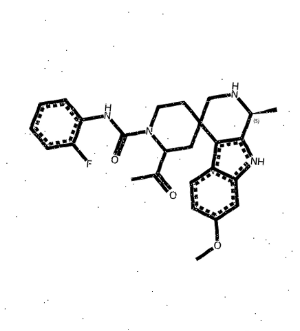 COc1ccc2c3c([nH]c2c1)[C@H](C)NCC31CCN(C(=O)Nc2ccccc2F)C(C(C)=O)C1